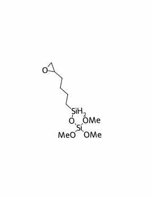 CO[Si](OC)(OC)O[SiH2]CCCCC1CO1